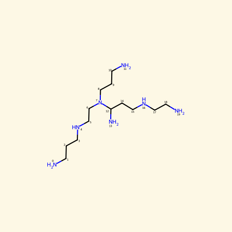 NCCCNCCN(CCCN)C(N)CCNCCN